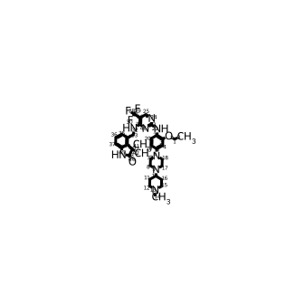 CCOc1cc(N2CCN(C3CCN(C)CC3)CC2)ccc1Nc1ncc(C(F)(F)F)c(NCc2cccc3c2C(C)(C)C(=O)N3)n1